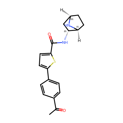 CC(=O)c1ccc(-c2ccc(C(=O)N[C@@H]3C[C@H]4CC[C@@H]3N4)s2)cc1